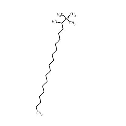 CCCCCCCCCCCCCCCCCC(O)[N+](C)(C)C